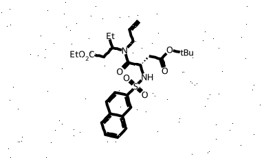 C=CCN(C(=O)[C@H](CC(=O)OC(C)(C)C)NS(=O)(=O)c1ccc2ccccc2c1)C(CC)CC(=O)OCC